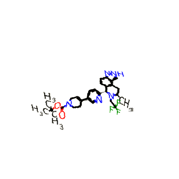 C[C@@H]1Cc2c(ccc3n[nH]cc23)[C@@H](c2ccc(C3=CCN(C(=O)OC(C)(C)C)CC3)cn2)N1CC(F)(F)F